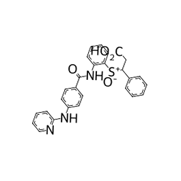 O=C(O)CC(c1ccccc1)[S+]([O-])c1ccccc1NC(=O)c1ccc(Nc2ccccn2)cc1